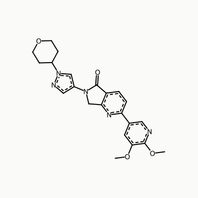 COc1cc(-c2ccc3c(n2)CN(c2cnn(C4CCOCC4)c2)C3=O)cnc1OC